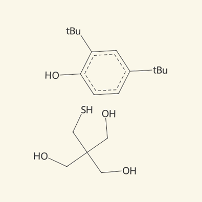 CC(C)(C)c1ccc(O)c(C(C)(C)C)c1.OCC(CO)(CO)CS